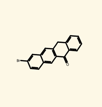 O=C1c2ccccc2Cc2cc3cc(Br)ccc3cc21